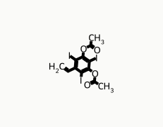 C=Cc1c(I)c(OC(C)=O)c(I)c(OC(C)=O)c1I